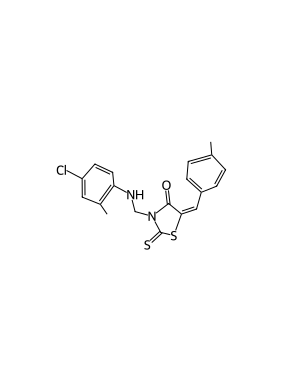 Cc1ccc(C=C2SC(=S)N(CNc3ccc(Cl)cc3C)C2=O)cc1